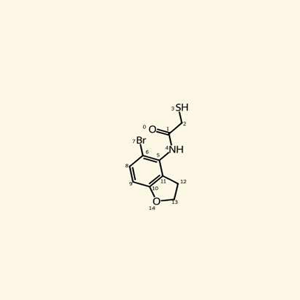 O=C(CS)Nc1c(Br)ccc2c1CCO2